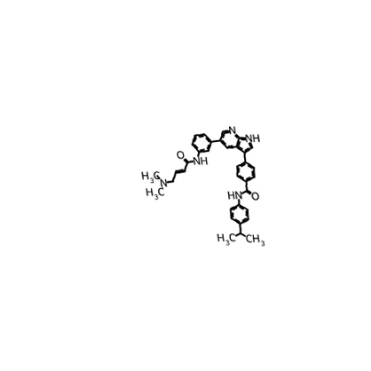 CC(C)c1ccc(NC(=O)c2ccc(-c3c[nH]c4ncc(-c5cccc(NC(=O)/C=C/CN(C)C)c5)cc34)cc2)cc1